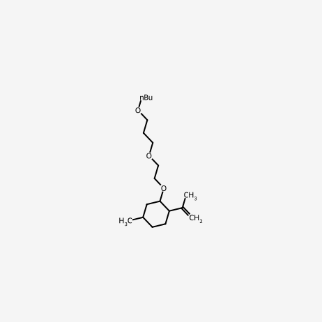 C=C(C)C1CCC(C)CC1OCCOCCCOCCCC